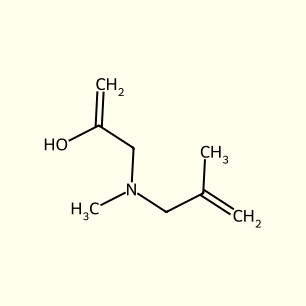 C=C(C)CN(C)CC(=C)O